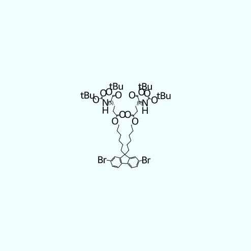 CC(C)(C)OC(=O)N[C@@H](CCC(=O)OCCCCCCC1(CCCCCCOC(=O)CC[C@@H](NC(=O)OC(C)(C)C)C(=O)OC(C)(C)C)c2cc(Br)ccc2-c2ccc(Br)cc21)C(=O)OC(C)(C)C